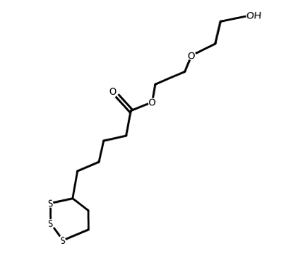 O=C(CCCCC1CCSSS1)OCCOCCO